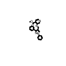 COC(=O)c1ccncc1N=Cc1cn(-c2ccccc2)nc1-c1ccccc1